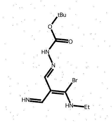 CCN/C(Br)=C(C=N)/C=N/NC(=O)OC(C)(C)C